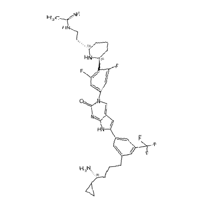 CC(=N)NCC[C@@H]1CCC[C@@H](c2c(F)cc(-n3cc4cc(-c5cc(CCC[C@@H](N)C6CC6)cc(C(F)(F)F)c5)[nH]c4nc3=O)cc2F)N1